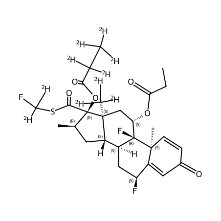 [2H]C([2H])(F)SC(=O)[C@@]1(OC(=O)C([2H])([2H])C([2H])([2H])[2H])[C@H](C)C[C@H]2[C@@H]3C[C@H](F)C4=CC(=O)C=C[C@]4(C)[C@@]3(F)[C@@H](OC(=O)CC)C[C@@]21C([2H])([2H])[2H]